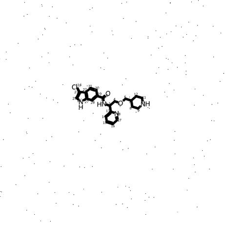 O=C(NC(COCC1CCNCC1)c1ccccn1)c1ccc2c(Cl)c[nH]c2c1